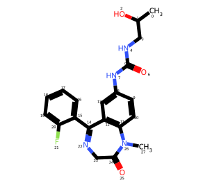 CC(O)CNC(=O)Nc1ccc2c(c1)C(c1ccccc1F)=NCC(=O)N2C